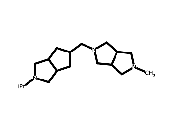 CC(C)N1CC2CC(CN3CC4CN(C)CC4C3)CC2C1